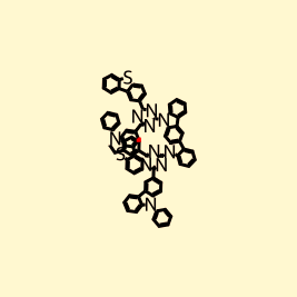 c1ccc(N2CCc3cc(-c4nc(-c5ccc6c(c5)c5ccccc5n6-c5ccccc5)nc(-n5c6ccccc6c6cc7c8ccccc8n(-c8nc(-c9ccc%10sc%11ccccc%11c%10c9)nc(-c9ccc%10sc%11ccccc%11c%10c9)n8)c7cc65)n4)ccc32)cc1